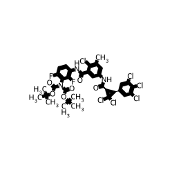 Cc1cc(NC(=O)[C@H]2[C@H](c3cc(Cl)c(Cl)c(Cl)c3)C2(Cl)Cl)cc(C(=O)Nc2ccc(F)c(N(C(=O)OC(C)(C)C)C(=O)OC(C)(C)C)c2F)c1Cl